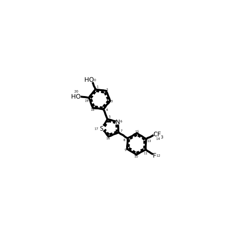 Oc1ccc(-c2nc(-c3ccc(F)c(C(F)(F)F)c3)cs2)cc1O